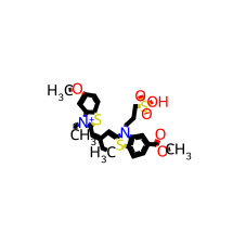 CCC(=CC1=[N+](CC)C2C=C(OC)C=CC2S1)C=C1Sc2ccc(C(=O)OC)cc2N1CCCS(=O)(=O)O